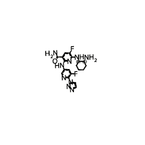 NC(=O)c1cc(F)c(N[C@@H]2CCCC[C@@H]2N)nc1Nc1cnc(-n2ccnn2)c(F)c1